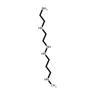 CNCCCNNCCNCCN